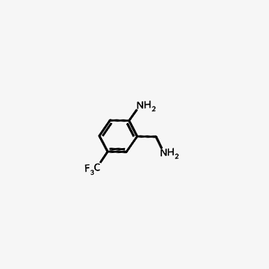 NCc1cc(C(F)(F)F)ccc1N